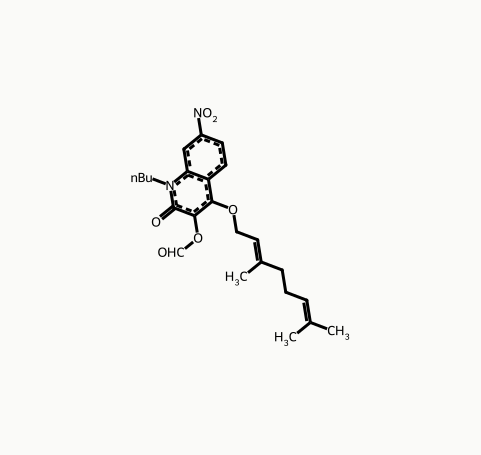 CCCCn1c(=O)c(OC=O)c(OC/C=C(\C)CCC=C(C)C)c2ccc([N+](=O)[O-])cc21